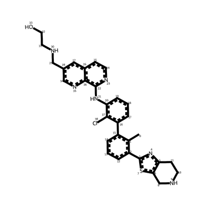 Cc1c(-c2nc3c(s2)CNCC3)cccc1-c1cccc(Nc2nccc3cc(CNCCO)cnc23)c1Cl